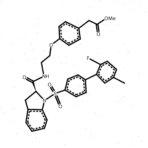 COC(=O)Cc1ccc(OCCNC(=O)[C@@H]2Cc3ccccc3N2S(=O)(=O)c2ccc(-c3cc(C)ccc3F)cc2)cc1